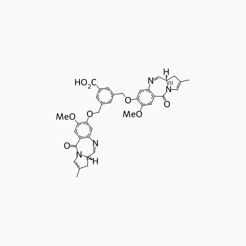 COc1cc2c(cc1OCc1cc(COc3cc4c(cc3OC)C(=O)N3C=C(C)C[C@H]3C=N4)cc(C(=O)O)c1)N=C[C@@H]1CC(C)=CN1C2=O